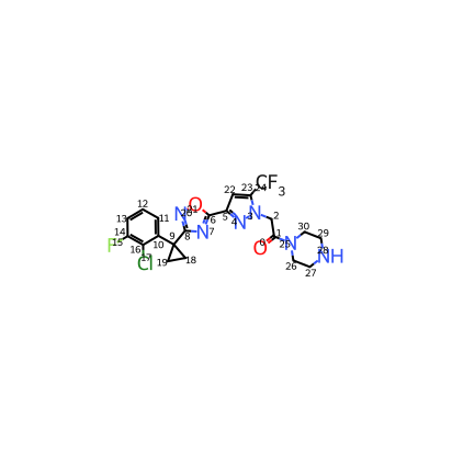 O=C(Cn1nc(-c2nc(C3(c4cccc(F)c4Cl)CC3)no2)cc1C(F)(F)F)N1CCNCC1